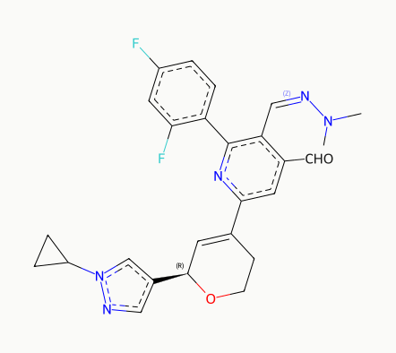 CN(C)/N=C\c1c(C=O)cc(C2=C[C@H](c3cnn(C4CC4)c3)OCC2)nc1-c1ccc(F)cc1F